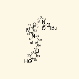 CC(C)(C)OC(=O)N1CCC[C@H]1COc1cncc(N2CCC(CCOc3ccc(O)cc3)CC2)c1